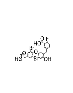 CP(=O)(O)Cc1cc(Br)c(Oc2ccc(O)c(Cc3ccc(F)c(C(=O)O)c3)c2)c(Br)c1